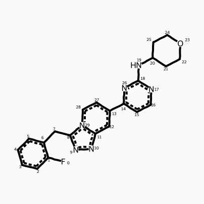 Fc1ccccc1Cc1nnc2cc(-c3ccnc(NC4CCOCC4)n3)ccn12